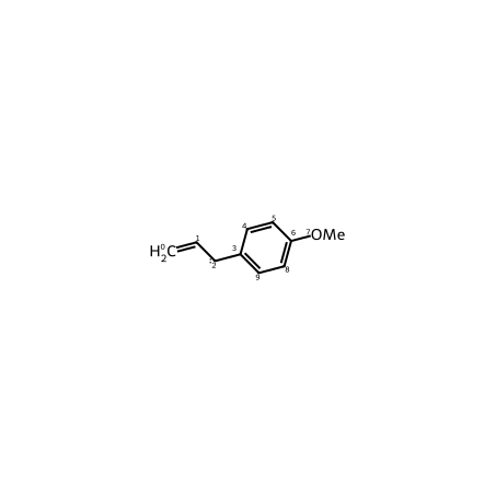 C=C[C]c1ccc(OC)cc1